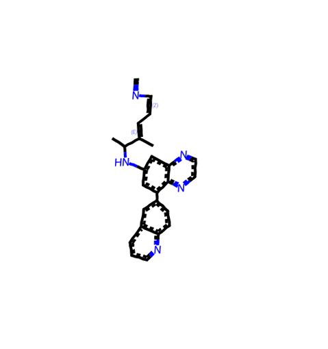 C=N/C=C\C=C(/C)C(C)Nc1cc(-c2ccc3ncccc3c2)c2nccnc2c1